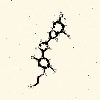 OCCOc1cc(Cl)c(-c2noc(-c3cn4cc(C(F)(F)F)cc(Br)c4n3)n2)cc1Cl